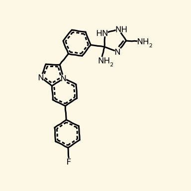 NC1=NC(N)(c2cccc(-c3cnc4cc(-c5ccc(F)cc5)ccn34)c2)NN1